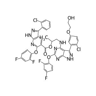 CC(CNc1nc(Oc2ccc(F)cc2F)nc2[nH]nc(-c3cc(OCCO)ccc3Cl)c12)OC(=O)c1cc2c(-c3ccccc3Cl)n[nH]c2nc1Oc1ccc(F)cc1F